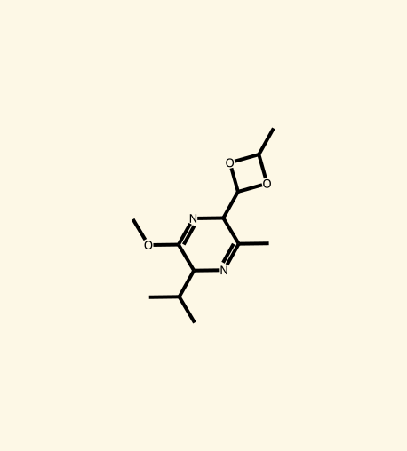 COC1=NC(C2OC(C)O2)C(C)=NC1C(C)C